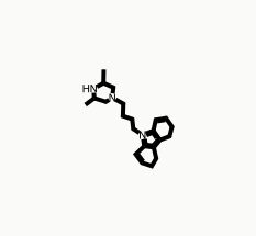 CC1CN(CCCCn2c3c(c4c2C=CCC4)CCC=C3)CC(C)N1